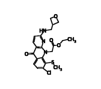 CCOC(=O)Cn1c2nc(NCC3COC3)ccc2c(=O)c2ccc(Cl)c(SC)c21